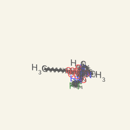 CCCCCCCCCCCCOC(=O)OCOc1c2n(cc(C(=O)NCc3ccc(F)cc3F)c1=O)[C@@H]1CN(C2=O)[C@@H](C)CC[C@]12CC(C)=NO2